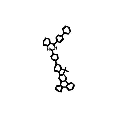 CC1(C)c2cc(-c3ccc(-c4nc(-c5ccc(-c6ccccc6)cc5)c5ccccc5n4)cc3)ccc2-c2cc3c4ccccc4c4ccccc4c3cc21